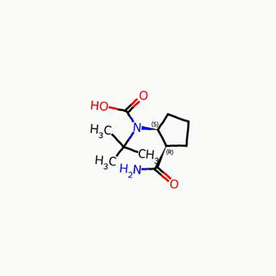 CC(C)(C)N(C(=O)O)[C@H]1CCC[C@H]1C(N)=O